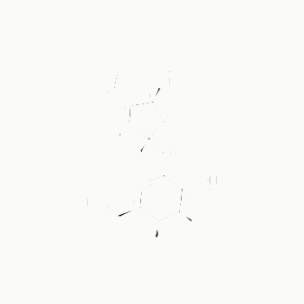 C[C@@]1(O[C@H]2O[C@H](CO)[C@H](Cl)[C@H](O)[C@H]2O)O[C@H](CCl)[C@@H](O)[C@@H]1O